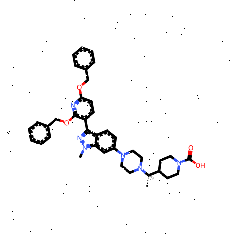 C[C@@H](C1CCN(C(=O)O)CC1)N1CCN(c2ccc3c(-c4ccc(OCc5ccccc5)nc4OCc4ccccc4)nn(C)c3c2)CC1